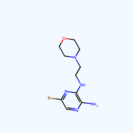 Nc1ncc(Br)nc1NCCN1CCOCC1